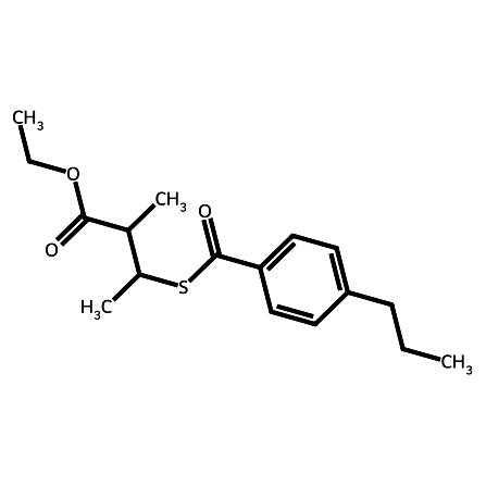 CCCc1ccc(C(=O)SC(C)C(C)C(=O)OCC)cc1